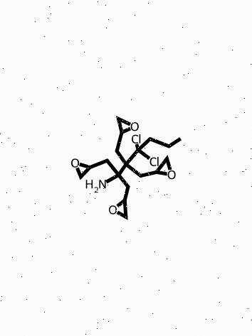 CCCC(Cl)(Cl)C(CC1CO1)(CC1CO1)C(N)(CC1CO1)CC1CO1